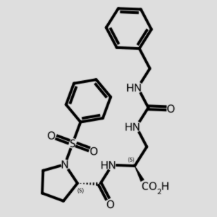 O=C(NCc1ccccc1)NC[C@H](NC(=O)[C@@H]1CCCN1S(=O)(=O)c1ccccc1)C(=O)O